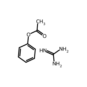 CC(=O)Oc1ccccc1.N=C(N)N